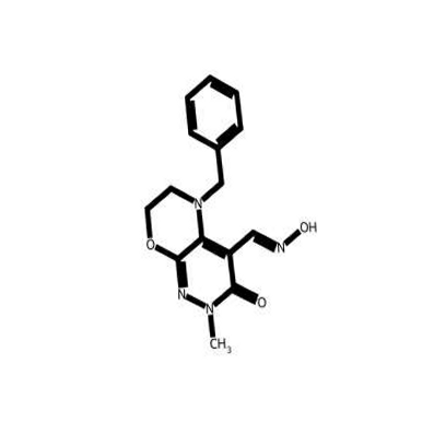 Cn1nc2c(c(/C=N/O)c1=O)N(Cc1ccccc1)CCO2